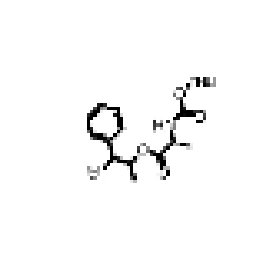 CCC(c1ccccc1)C(C)OC(=O)[C@H](C)NC(=O)OC(C)(C)C